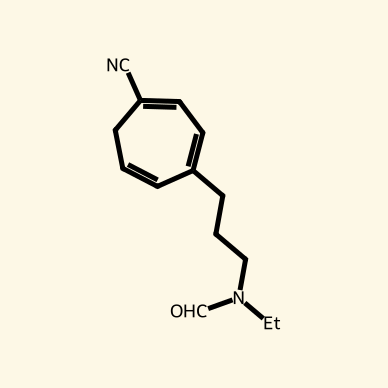 CCN(C=O)CCCC1=CC=C(C#N)CC=C1